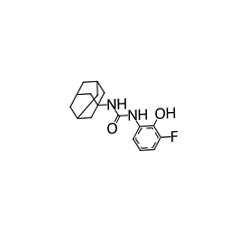 O=C(Nc1cccc(F)c1O)NC12CC3CC(CC(C3)C1)C2